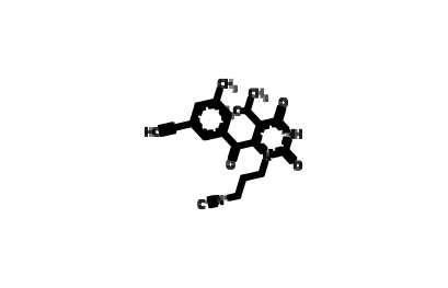 [C-]#[N+]CCCn1c(C(=O)c2cc(C)cc(C#C)c2)c(C(C)C)c(=O)[nH]c1=O